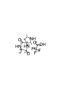 C[C@H]1NC(=O)C2(CCNC2)NC1=O.O=C(O)C(F)(F)F